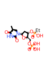 CCP(=O)(O)O[C@H]1C[C@H](n2cc(C)c(=O)[nH]c2=O)O[C@@H]1COP(=O)(O)O